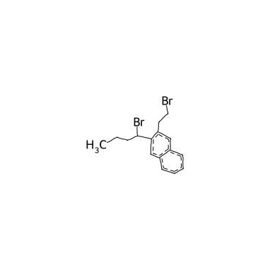 CCCC(Br)c1cc2ccccc2cc1CCBr